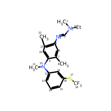 CCN(C)C=Nc1cc(C)c(N(C)c2cccc(SC(F)(F)F)c2)cc1C